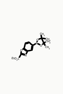 CCOC(=O)c1nc2cc(B3OC(C)(C)C(C)(C)O3)ccc2o1